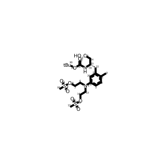 Cc1ccc(N(CCOS(C)(=O)=O)CCOS(C)(=O)=O)cc1C[C@@H](CC(=O)O)NC(=O)OC(C)(C)C